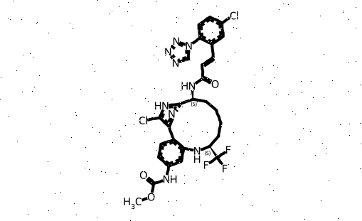 COC(=O)Nc1ccc2c(c1)N[C@H](C(F)(F)F)CCCC[C@H](NC(=O)C=Cc1cc(Cl)ccc1-n1cnnn1)c1nc-2c(Cl)[nH]1